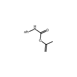 C=C(C)OC(=O)NCCC